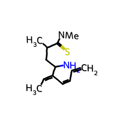 C=C/C=C\C(=C/C)C(N)CC(C)C(=S)NC